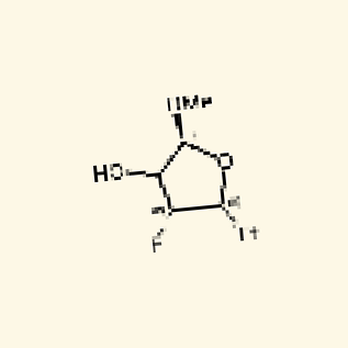 CC[C@H]1O[C@H](OC)C(O)[C@H]1F